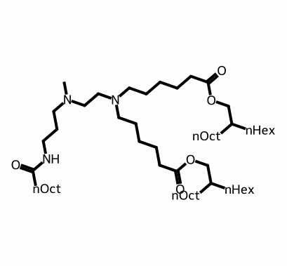 CCCCCCCCC(=O)NCCCN(C)CCN(CCCCCC(=O)OCC(CCCCCC)CCCCCCCC)CCCCCC(=O)OCC(CCCCCC)CCCCCCCC